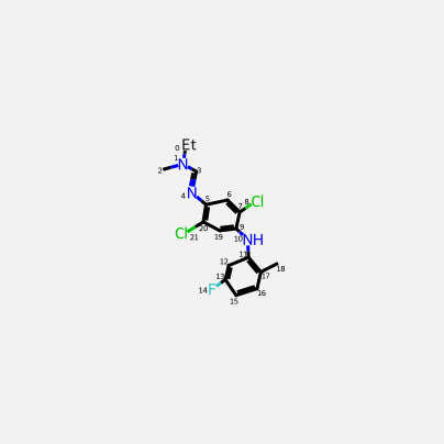 CCN(C)C=Nc1cc(Cl)c(Nc2cc(F)ccc2C)cc1Cl